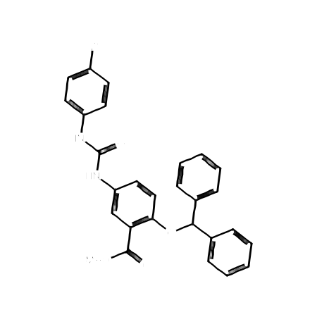 COC(=O)c1cc(NC(=O)Nc2ccc(Br)cc2)ccc1OC(c1ccccc1)c1ccccc1